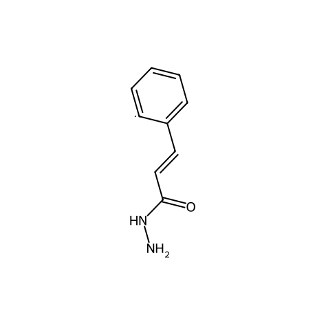 NNC(=O)/C=C/c1[c]cccc1